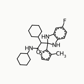 Cc1ccsc1C1(C(C(=O)NC2CCCCC2)C2CCCCC2)Nc2ccc(F)cc2N1